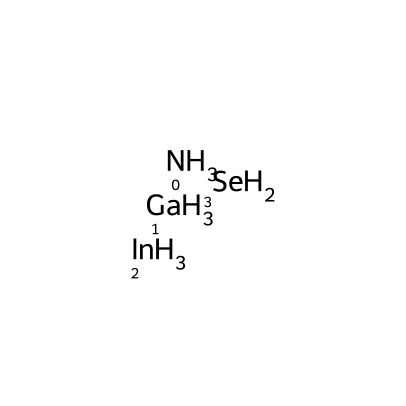 N.[GaH3].[InH3].[SeH2]